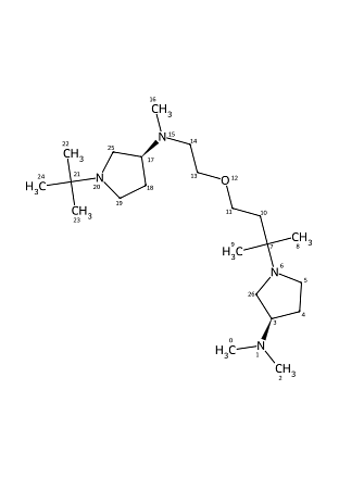 CN(C)[C@@H]1CCN(C(C)(C)CCOCCN(C)[C@H]2CCN(C(C)(C)C)C2)C1